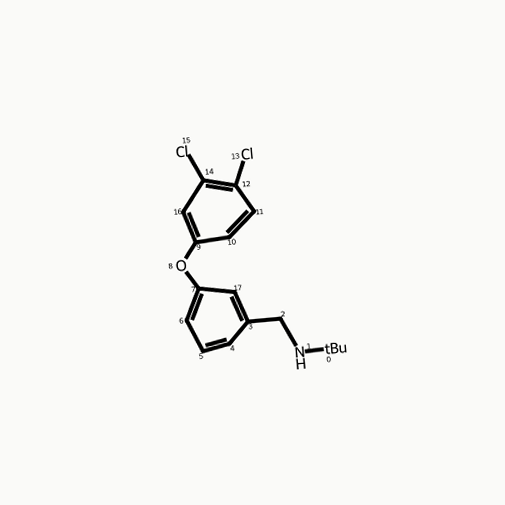 CC(C)(C)NCc1cccc(Oc2ccc(Cl)c(Cl)c2)c1